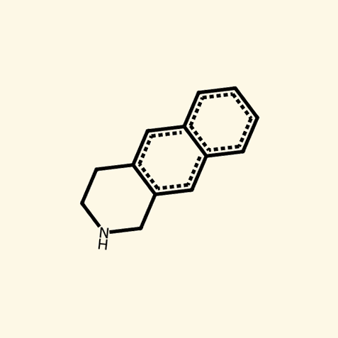 c1ccc2cc3c(cc2c1)CCNC3